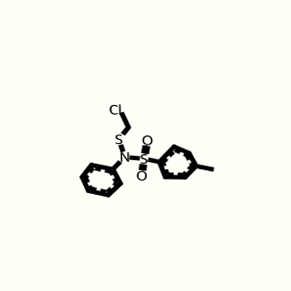 Cc1ccc(S(=O)(=O)N(SCCl)c2ccccc2)cc1